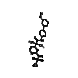 CCOc1cncc(-c2ccc(NC(=O)C(C)(C)c3ccnc(NS(=O)(=O)C4CC4)n3)cc2)c1